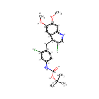 COc1cc2ncc(F)c(Cc3ccc(NC(=O)OC(C)(C)C)cc3F)c2cc1OC